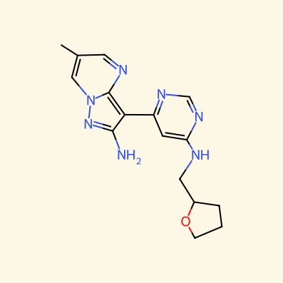 Cc1cnc2c(-c3cc(NCC4CCCO4)ncn3)c(N)nn2c1